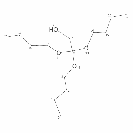 CCCCOC(CO)(OCCCC)OCCCC